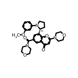 COc1cccc(N2CCC[C@H]2c2cc(C(=O)N3CCOCC3)cc3c(=O)cc(N4CCOCC4)oc23)c1